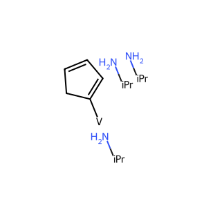 CC(C)N.CC(C)N.CC(C)N.[V][C]1=CC=CC1